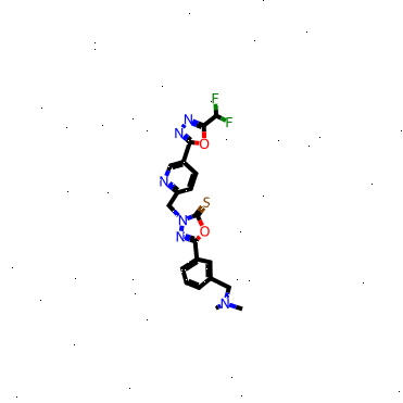 CN(C)Cc1cccc(-c2nn(Cc3ccc(-c4nnc(C(F)F)o4)cn3)c(=S)o2)c1